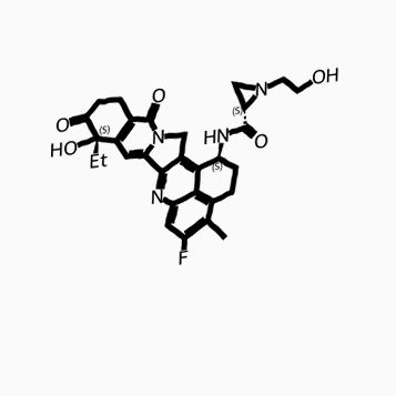 CC[C@@]1(O)C(=O)CCc2c1cc1n(c2=O)Cc2c-1nc1cc(F)c(C)c3c1c2[C@@H](NC(=O)[C@@H]1CN1CCO)CC3